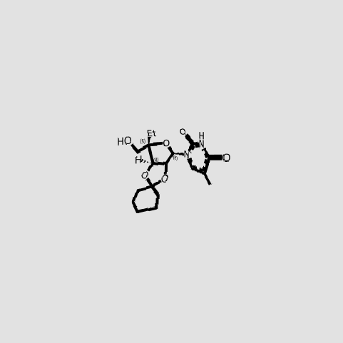 CC[C@@]1(CO)O[C@@H](n2cc(C)c(=O)[nH]c2=O)C2OC3(CCCCC3)O[C@H]21